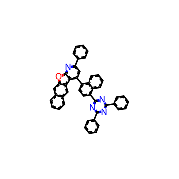 c1ccc(-c2cc(-c3ccc(-c4nc(-c5ccccc5)nc(-c5ccccc5)n4)c4ccccc34)c3c(n2)oc2cc4ccccc4cc23)cc1